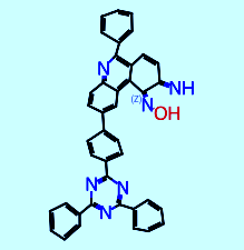 N=C1C=Cc2c(-c3ccccc3)nc3ccc(-c4ccc(-c5nc(-c6ccccc6)nc(-c6ccccc6)n5)cc4)cc3c2/C1=N/O